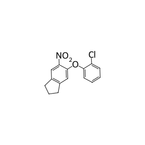 O=[N+]([O-])c1cc2c(cc1Oc1ccccc1Cl)CCC2